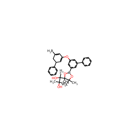 BC1=CC(Oc2cc(B3OC(C)(C)C(C)(C(C)(O)C(C)(C)O)O3)cc(-c3ccccc3)c2)=CC(c2ccccc2)C1